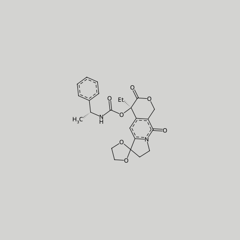 CC[C@]1(OC(=O)N[C@H](C)c2ccccc2)C(=O)OCc2c1cc1n(c2=O)CCC12OCCO2